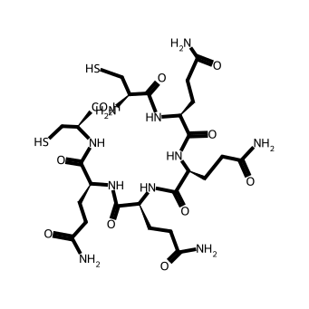 NC(=O)CC[C@H](NC(=O)[C@H](CCC(N)=O)NC(=O)[C@H](CCC(N)=O)NC(=O)[C@H](CCC(N)=O)NC(=O)[C@@H](N)CS)C(=O)N[C@@H](CS)C(=O)O